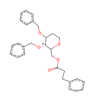 O=C(CCc1ccccc1)OCC1OCCC(OCc2ccccc2)[C@H]1OCc1ccccc1